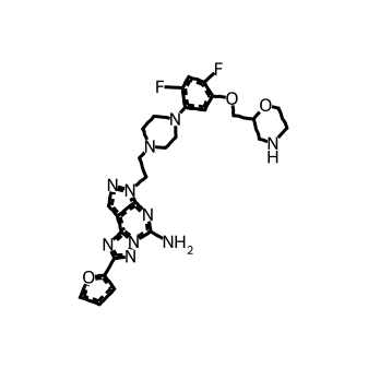 Nc1nc2c(cnn2CCN2CCN(c3cc(OCC4CNCCO4)c(F)cc3F)CC2)c2nc(-c3ccco3)nn12